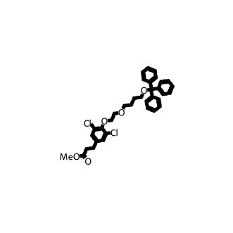 COC(=O)CCc1cc(Cl)c(OCCOCCCCOC(c2ccccc2)(c2ccccc2)c2ccccc2)c(Cl)c1